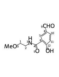 COCCNC(=O)c1cc(C=O)ccc1O